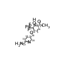 CC(=O)c1ccc(OCc2ccc(CN)nc2)c(C(F)(F)F)c1O